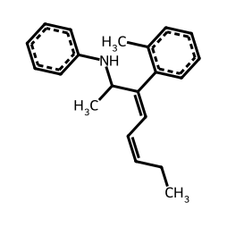 CC/C=C\C=C(\c1ccccc1C)C(C)Nc1ccccc1